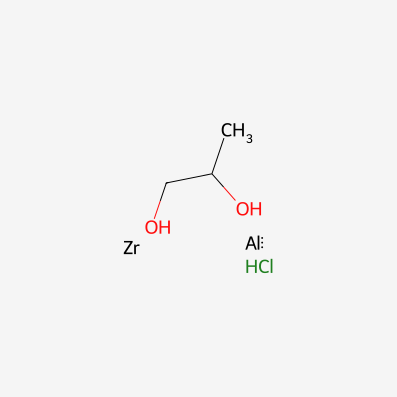 CC(O)CO.Cl.[Al].[Zr]